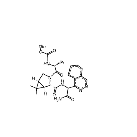 CC(C)[C@H](NC(=O)OC(C)(C)C)C(=O)N1C[C@H]2[C@@H]([C@H]1C(=O)NC(C(N)=O)c1nncc3ccccc13)C2(C)C